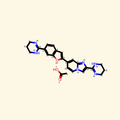 CC(=O)O.c1cc2cc(-c3ccn4cc(C5=NCCCN5)nc4c3)oc2cc1C1=NCCCN1